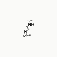 C=C(C)/N=C/CNCC